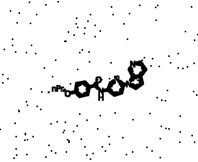 CCCOc1ccc(C(=O)Nc2ccc(-n3ccc4ccncc43)nc2)cc1